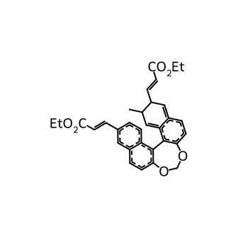 CCOC(=O)/C=C/c1ccc2c3c(ccc2c1)OCOc1ccc2c(c1-3)=CC(C)C(/C=C/C(=O)OCC)C=2